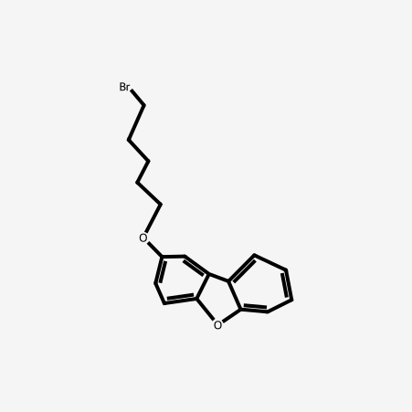 BrCCCCCOc1ccc2oc3ccccc3c2c1